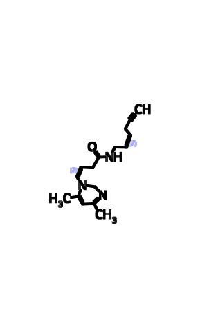 C#CC/C=C\CNC(=O)C/C=C\N1CN=C(C)C=C1C